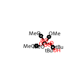 COc1ccc(CO[C@@H]2[C@@H](OCc3ccc(OC)cc3)[C@@H](OC)O[C@H](COC(=O)c3cc(C(C)(C)C)c(O)c(C(C)(C)C)c3)[C@H]2OCc2ccc(OC)cc2)cc1